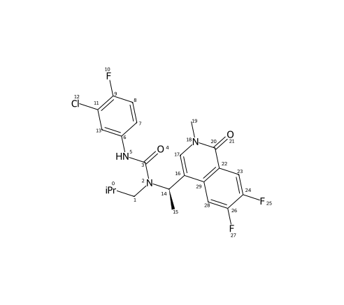 CC(C)CN(C(=O)Nc1ccc(F)c(Cl)c1)[C@H](C)c1cn(C)c(=O)c2cc(F)c(F)cc12